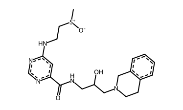 C[S+]([O-])CCNc1cc(C(=O)NCC(O)CN2CCc3ccccc3C2)ncn1